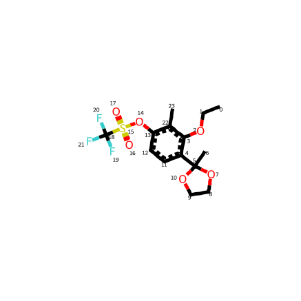 CCOc1c(C2(C)OCCO2)ccc(OS(=O)(=O)C(F)(F)F)c1C